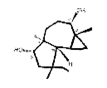 CC1(C)C[C@H](O)[C@@]2(C)CC[C@@H](O)[C@]3(C)CC3[C@H]12